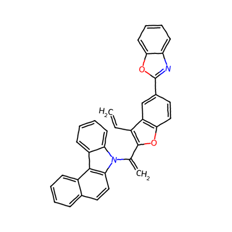 C=Cc1c(C(=C)n2c3ccccc3c3c4ccccc4ccc32)oc2ccc(-c3nc4ccccc4o3)cc12